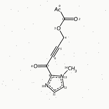 CC(=O)C(=O)OCC#CC(=O)c1nccn1C